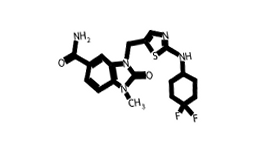 Cn1c(=O)n(Cc2cnc(NC3CCC(F)(F)CC3)s2)c2cc(C(N)=O)ccc21